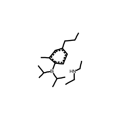 CCCc1cc[c]([Bi]([CH](C)C)[CH](C)C)c(C)c1.CCNCC